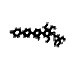 CCc1cc(-c2ccc(-c3ccc(C4CCC(C)CC4)cc3)cc2F)c(CC)c(CC)c1OCCC(CC)(CC)CC